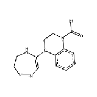 CCC(=O)N1CCN(C2=CN=CCCN2)c2ccccc21